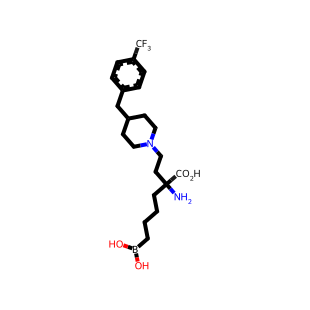 NC(CCCCB(O)O)(CCN1CCC(Cc2ccc(C(F)(F)F)cc2)CC1)C(=O)O